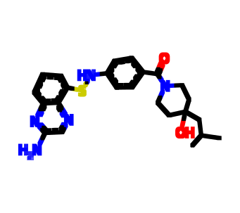 CC(C)CC1(O)CCN(C(=O)c2ccc(NSc3cccc4nc(N)cnc34)cc2)CC1